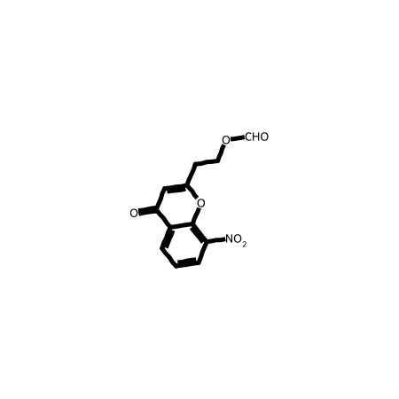 O=COCCc1cc(=O)c2cccc([N+](=O)[O-])c2o1